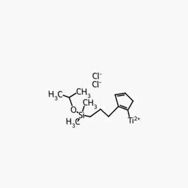 CC(C)O[Si](C)(C)CCCC1=[C]([Ti+2])CC=C1.[Cl-].[Cl-]